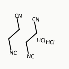 Cl.Cl.[C-]#[N+]CCC#N.[C-]#[N+]CCC#N